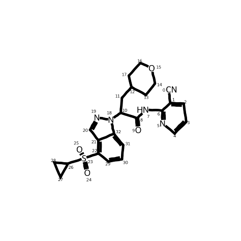 N#Cc1cccnc1NC(=O)C(CC1CCOCC1)n1ncc2c(S(=O)(=O)C3CC3)cccc21